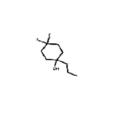 CC[CH]C1(O)CCC(F)(F)CC1